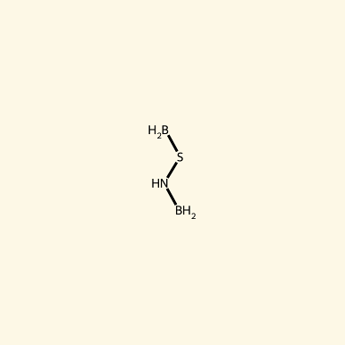 BNSB